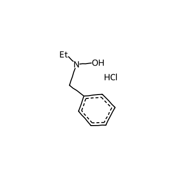 CCN(O)Cc1ccccc1.Cl